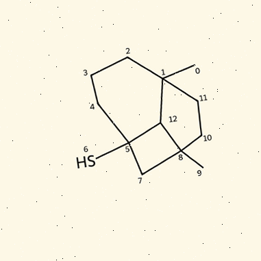 CC12CCCC3(S)CC(C)(CC1)C23